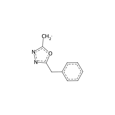 [CH2]c1nnc(Cc2ccccc2)o1